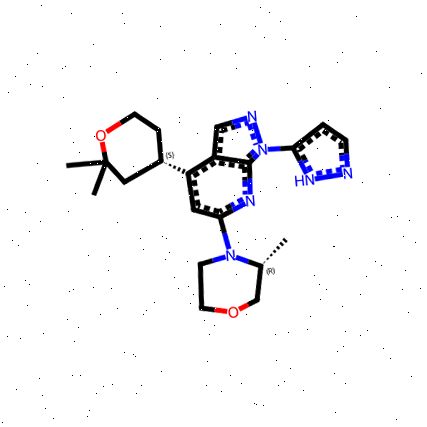 C[C@@H]1COCCN1c1cc([C@H]2CCOC(C)(C)C2)c2cnn(-c3ccn[nH]3)c2n1